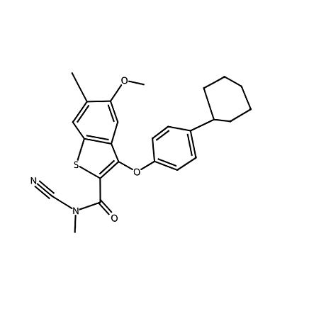 COc1cc2c(Oc3ccc(C4CCCCC4)cc3)c(C(=O)N(C)C#N)sc2cc1C